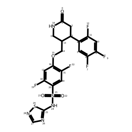 O=C1CC(c2cc(F)c(F)cc2F)C(COc2cc(F)c(S(=O)(=O)Nc3ncns3)cc2F)CN1